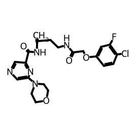 C=C(CCNC(=O)COc1ccc(Cl)c(F)c1)NC(=O)c1cncc(N2CCOCC2)n1